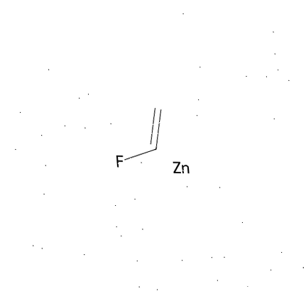 C=CF.[Zn]